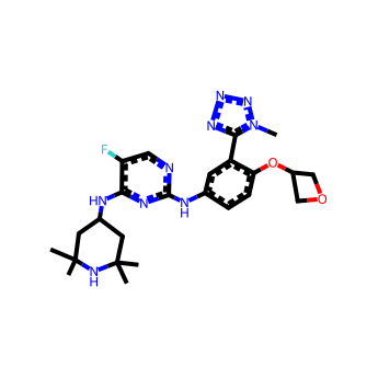 Cn1nnnc1-c1cc(Nc2ncc(F)c(NC3CC(C)(C)NC(C)(C)C3)n2)ccc1OC1COC1